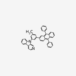 Cc1cc(-c2ccc3c(-c4ccccc4)c4ccccc4c(-c4ccccc4)c3c2)cc(-n2c3ccccc3c3ccncc32)c1